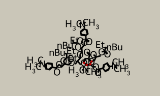 CCCCC(CC)C(=O)OCC(COC(COCC(CC)(COCC(COC(=O)c1ccc(N(C)C)cc1)OC(=O)C(CC)CCCC)COCC(COC(=O)c1ccc(N(C)C)cc1)OC(=O)C(CC)CCCC)COC(=O)c1ccc(N(C)C)cc1)OC(=O)c1ccc(N(C)C)cc1